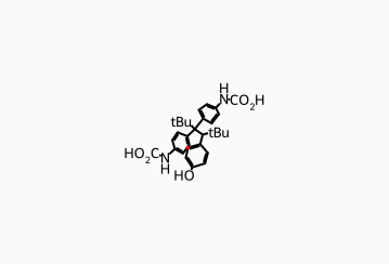 CC(C)(C)C(c1ccc(O)cc1)C(c1ccc(NC(=O)O)cc1)(c1ccc(NC(=O)O)cc1)C(C)(C)C